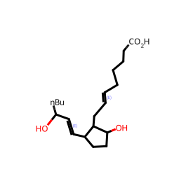 CCCCC(O)/C=C/C1CCC(O)C1C/C=C/CCCCC(=O)O